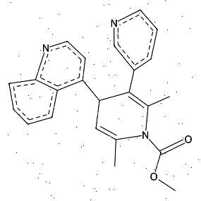 COC(=O)N1C(C)=CC(c2ccnc3ccccc23)C(c2cccnc2)=C1C